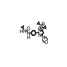 O=C(Nc1ccc(-c2nc(N3CCOCC3)cc(C3(S(=O)(=O)C4CC4)CC3)n2)cc1)NC1CC1